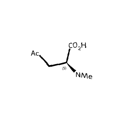 CN[C@@H](CC(C)=O)C(=O)O